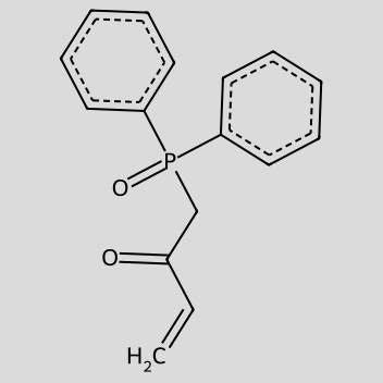 C=CC(=O)CP(=O)(c1ccccc1)c1ccccc1